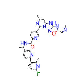 C/N=C\c1nc(Nc2cc(C)nc(-c3ccc(C(=O)NC(C)c4ccc(-c5ccc(F)nc5C)nc4)nc3)n2)no1